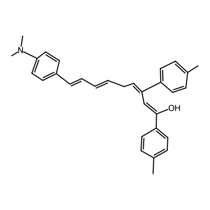 Cc1ccc(/C(O)=C/C(=C\C/C=C/C=C/c2ccc(N(C)C)cc2)c2ccc(C)cc2)cc1